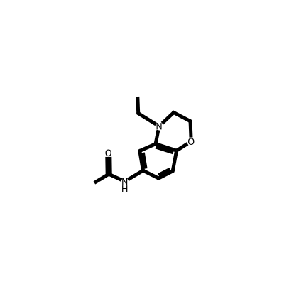 CCN1CCOc2ccc(NC(C)=O)cc21